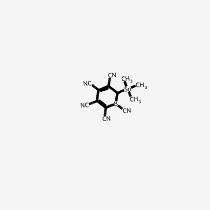 [CH3][Sn]([CH3])([CH3])[CH]1B(C#N)C(C#N)=C(C#N)C(C#N)=C1C#N